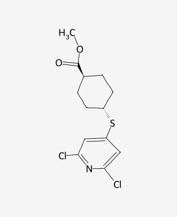 COC(=O)[C@H]1CC[C@H](Sc2cc(Cl)nc(Cl)c2)CC1